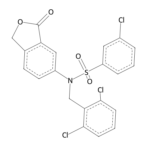 O=C1OCc2ccc(N(Cc3c(Cl)cccc3Cl)S(=O)(=O)c3cccc(Cl)c3)cc21